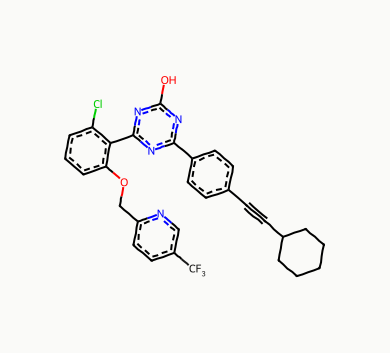 Oc1nc(-c2ccc(C#CC3CCCCC3)cc2)nc(-c2c(Cl)cccc2OCc2ccc(C(F)(F)F)cn2)n1